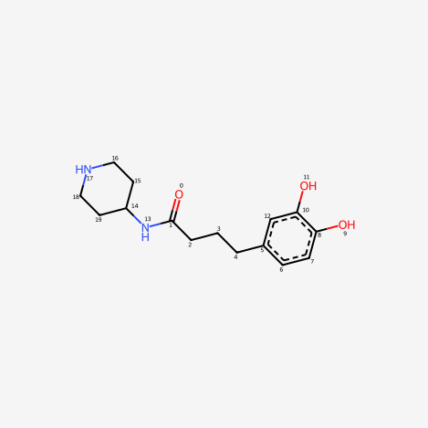 O=C(CCCc1ccc(O)c(O)c1)NC1CCNCC1